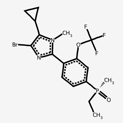 CC[P@](C)(=O)c1ccc(-c2nc(Br)c(C3CC3)n2C)c(OC(F)(F)F)c1